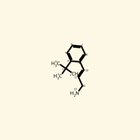 CC(C)(C)c1ccccc1C=CCN